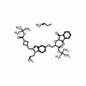 C=CCI.C=CC[n+]1c2ccc(OCC(ON3C(=O)c4ccccc4C3=O)C(=O)OC(C)(C)C)cc2cn1CC1CN(C(=O)OC(C)(C)C)C1